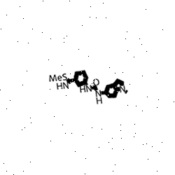 CSC(=N)c1cccc(NC(=O)Nc2ccc3c(ccn3C)c2)c1